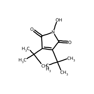 CC(C)(C)C1=C(C(C)(C)C)C(=O)N(O)C1=O